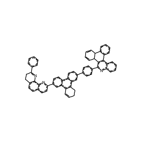 C1=CC2c3ccccc3-c3c(c(-c4ccc(-c5ccc6c(c5)c5c(c7cc(-c8ccc9ccc%10c(c9n8)N=C(c8ccccc8)CC%10)ccc76)C=CCC5)cc4)nc4ccccc34)C2C=C1